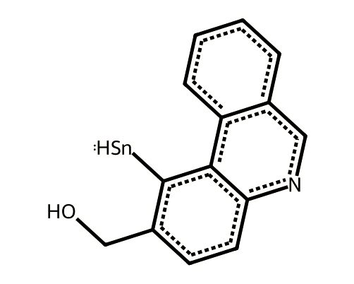 OCc1ccc2ncc3ccccc3c2[c]1[SnH]